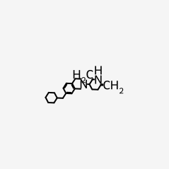 C=C1CCC(N2CCc3ccc(CC4CCCCC4)cc3C2)C(=C)N1